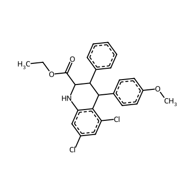 CCOC(=O)C1Nc2cc(Cl)cc(Cl)c2C(c2ccc(OC)cc2)C1c1ccccc1